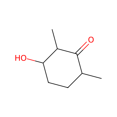 CC1CCC(O)C(C)C1=O